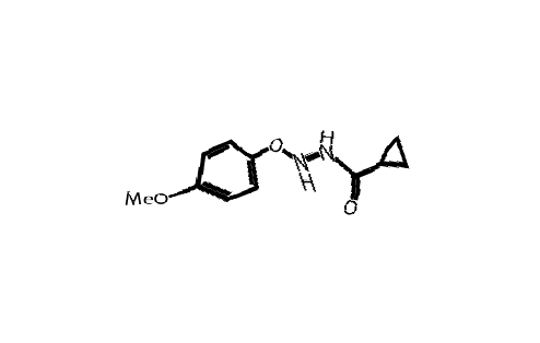 COc1ccc(ONNC(=O)C2CC2)cc1